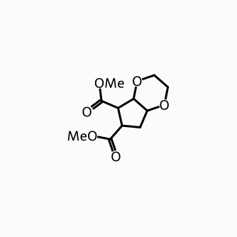 COC(=O)C1CC2OCCOC2C1C(=O)OC